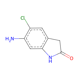 Nc1cc2c(cc1Cl)CC(=O)N2